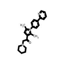 Cc1cc(C(=O)CN2CCCCC2)c(C)n1-c1ccc(-c2ccccn2)cc1